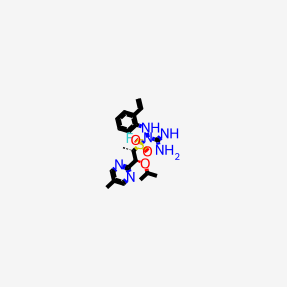 C=Cc1cccc(F)c1NN(C(=N)N)S(=O)(=O)[C@@H](C)[C@@H](OC(C)C)c1ncc(C)cn1